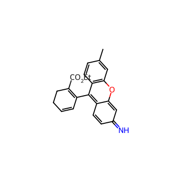 CCOC(=O)C1=C(c2c3ccc(=N)cc-3oc3cc(C)ccc23)C=CCC1